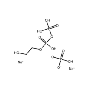 O=P(O)(O)OP(=O)(O)OCCO.O=P([O-])([O-])O.[Na+].[Na+]